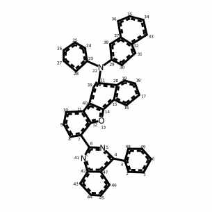 c1ccc(-c2nc(-c3cccc4c3oc3c5ccccc5c(N(c5ccccc5)c5ccc6ccccc6c5)cc43)nc3ccccc23)cc1